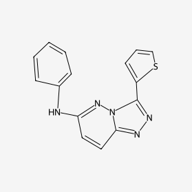 c1ccc(Nc2ccc3nnc(-c4cccs4)n3n2)cc1